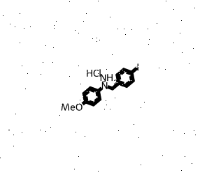 COc1ccc(N(N)Cc2ccc(I)cc2)cc1.Cl